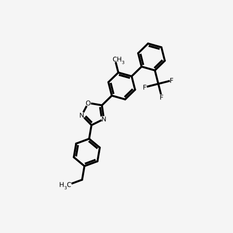 CCc1ccc(-c2noc(-c3ccc(-c4ccccc4C(F)(F)F)c(C)c3)n2)cc1